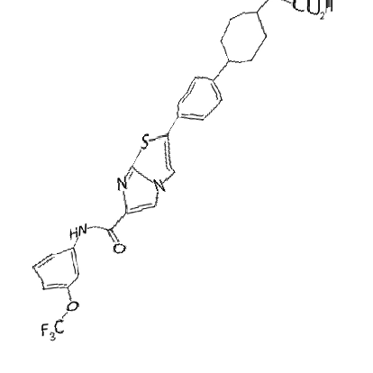 O=C(O)CC1CCC(c2ccc(-c3cn4cc(C(=O)Nc5cccc(OC(F)(F)F)c5)nc4s3)cc2)CC1